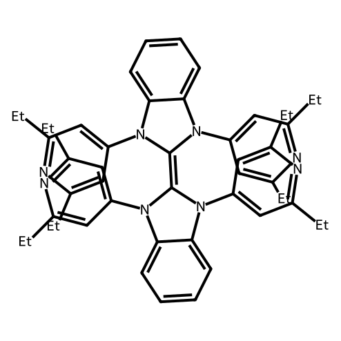 CCc1cc(N2C(=C3N(c4cc(CC)nc(CC)c4)c4ccccc4N3c3cc(CC)nc(CC)c3)N(c3cc(CC)nc(CC)c3)c3ccccc32)cc(CC)n1